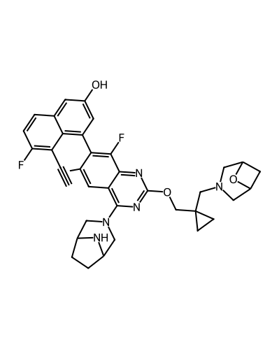 C#Cc1c(F)ccc2cc(O)cc(-c3c(C)cc4c(N5CC6CCC(C5)N6)nc(OCC5(CN6CC7CC(C6)O7)CC5)nc4c3F)c12